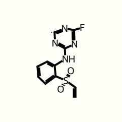 C=CS(=O)(=O)c1ccccc1Nc1n[c]nc(F)n1